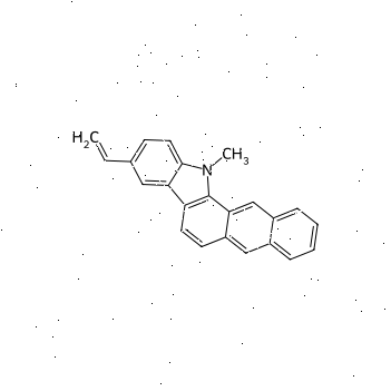 C=Cc1ccc2c(c1)c1ccc3cc4ccccc4cc3c1n2C